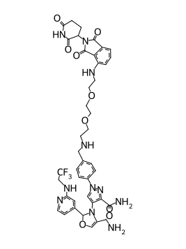 NC(=O)C1=COC(c2ccnc(NCC(F)(F)F)c2)N1c1cn(-c2ccc(CNCCOCCOCCNc3cccc4c3C(=O)N(C3CCC(=O)NC3=O)C4=O)cc2)nc1C(N)=O